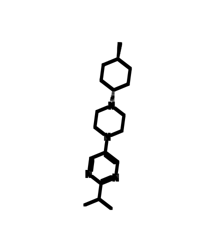 CC(C)c1ncc(N2CCN([C@H]3CC[C@H](C)CC3)CC2)cn1